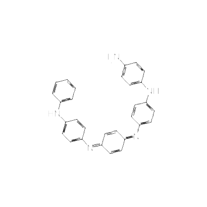 Nc1ccc(Nc2ccc(N=C3C=CC(=Nc4ccc(Nc5ccccc5)cc4)C=C3)cc2)cc1